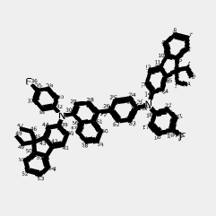 CCC1(CC)c2ccccc2-c2ccc(N(c3ccc(F)cc3)c3ccc(-c4ccc(N(c5ccc(F)cc5)c5ccc6c(c5)C(CC)(CC)c5ccccc5-6)c5ccccc45)cc3)cc21